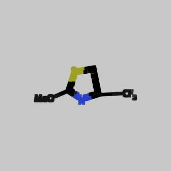 COc1nc(C(F)(F)F)cs1